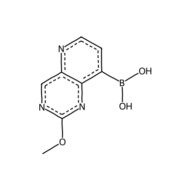 COc1ncc2nccc(B(O)O)c2n1